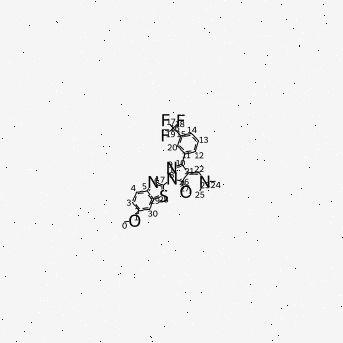 COc1ccc2nc(N3N=C(c4cccc(C(F)(F)F)c4)C(=CN(C)C)C3=O)sc2c1